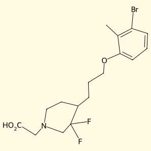 Cc1c(Br)cccc1OCCCC1CCN(CC(=O)O)CC1(F)F